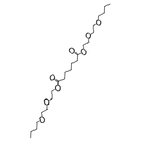 CCCCOCCOCCOC(=O)CCCCCC(=O)OCCOCCOCCCC